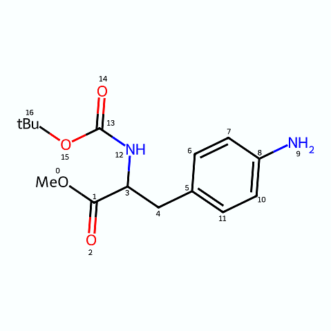 COC(=O)C(Cc1ccc(N)cc1)NC(=O)OC(C)(C)C